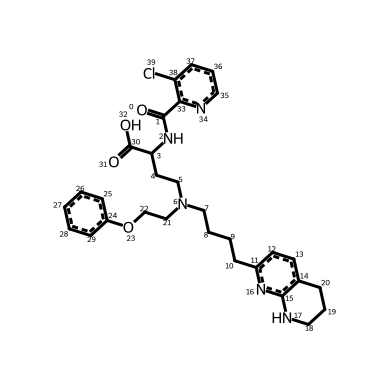 O=C(NC(CCN(CCCCc1ccc2c(n1)NCCC2)CCOc1ccccc1)C(=O)O)c1ncccc1Cl